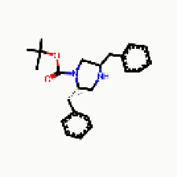 CC(C)(C)OC(=O)N1CC(Cc2ccccc2)NC[C@@H]1Cc1ccccc1